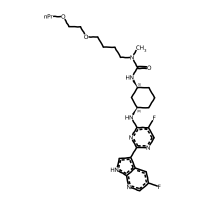 CCCOCCOCCCCN(C)C(=O)N[C@H]1CCC[C@@H](Nc2nc(-c3c[nH]c4ncc(F)cc34)ncc2F)C1